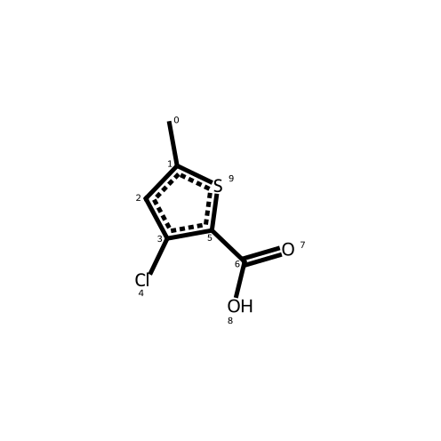 Cc1cc(Cl)c(C(=O)O)s1